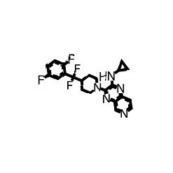 Fc1ccc(F)c(C(F)(F)C2CCN(c3nc4cnccc4nc3NC3CC3)CC2)c1